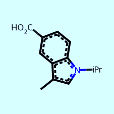 Cc1cn(C(C)C)c2ccc(C(=O)O)cc12